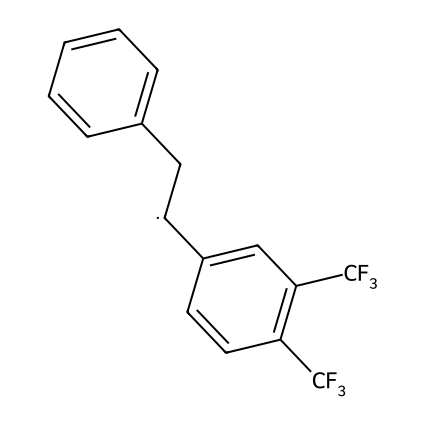 FC(F)(F)c1ccc([CH]Cc2ccccc2)cc1C(F)(F)F